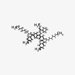 CCCCCCCCCCC(c1ccc(N)cc1)c1ccc(C(CCC(CCC)C2CCCCC2)c2ccc(C(CCCCCCCCCC)c3ccc(N)cc3)cc2)cc1